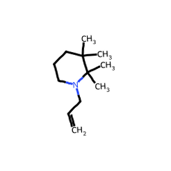 C=CCN1CCCC(C)(C)C1(C)C